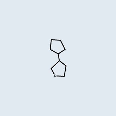 C1CCC(C2CC[N]C2)C1